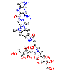 CCn1c(CNC(=O)c2nc3cc[nH]c3nc2N)[n+](CC)c2ccc(C(=O)NCCCN(CC(O)C(O)C(O)C(O)CO)CC(O)C(O)C(O)C(O)CO)cc21